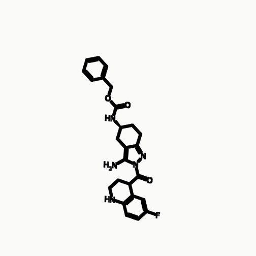 Nc1c2c(nn1C(=O)C1CCNc3ccc(F)cc31)CC[C@H](NC(=O)OCc1ccccc1)C2